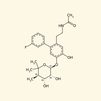 CC(=O)NCCc1cc(O)c(O[C@@H]2OC(C)(C)[C@H](C)[C@@H](O)[C@H]2O)cc1-c1cccc(F)c1